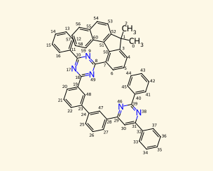 CC1(C)c2cccc(-c3nc(-c4ccccc4)nc(-c4cccc(-c5cccc(-c6cc(-c7ccccc7)nc(-c7ccccc7)n6)c5)c4)n3)c2-c2c1ccc1ccccc21